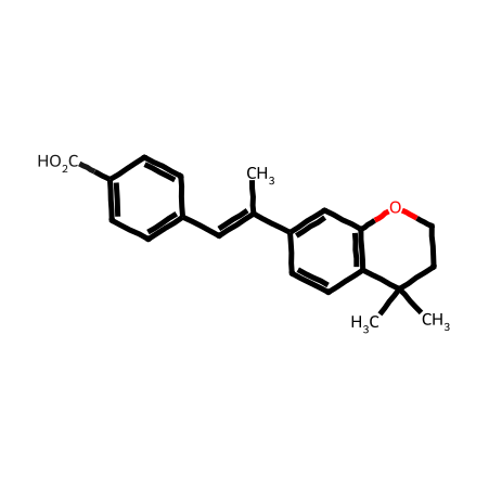 CC(=Cc1ccc(C(=O)O)cc1)c1ccc2c(c1)OCCC2(C)C